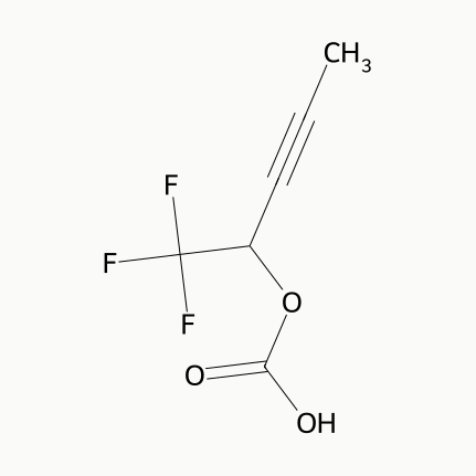 CC#CC(OC(=O)O)C(F)(F)F